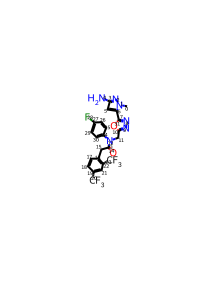 Cn1nc(N)cc1-c1nnc(CN(C(=O)Cc2ccc(C(F)(F)F)cc2C(F)(F)F)c2ccc(F)cc2)o1